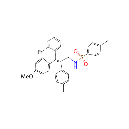 COc1ccc(C(=C(CNS(=O)(=O)c2ccc(C)cc2)c2ccc(C)cc2)c2ccccc2C(C)C)cc1